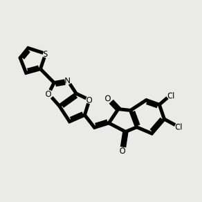 O=C1C(=Cc2cc3oc(-c4cccs4)nc3o2)C(=O)c2cc(Cl)c(Cl)cc21